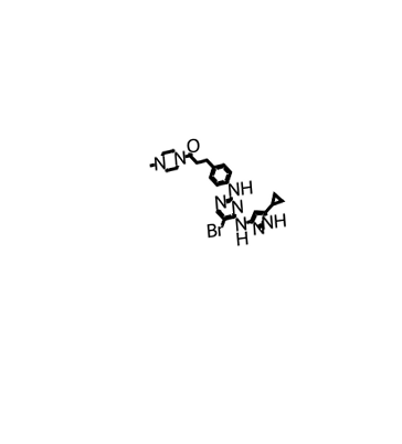 CN1CCN(C(=O)CCc2ccc(Nc3ncc(Br)c(Nc4cc(C5CC5)[nH]n4)n3)cc2)CC1